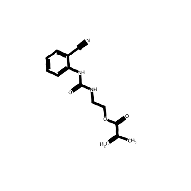 C=C(C)C(=O)OCCNC(=O)Nc1ccccc1C#N